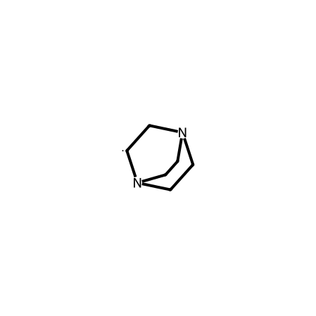 [CH]1CN2CCN1CC2